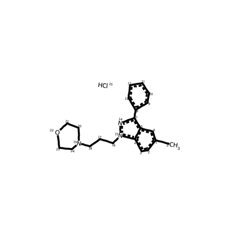 Cc1ccc2c(c1)c(-c1ccccc1)nn2CCCN1CCOCC1.Cl